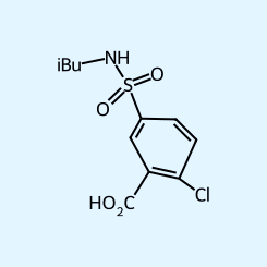 CCC(C)NS(=O)(=O)c1ccc(Cl)c(C(=O)O)c1